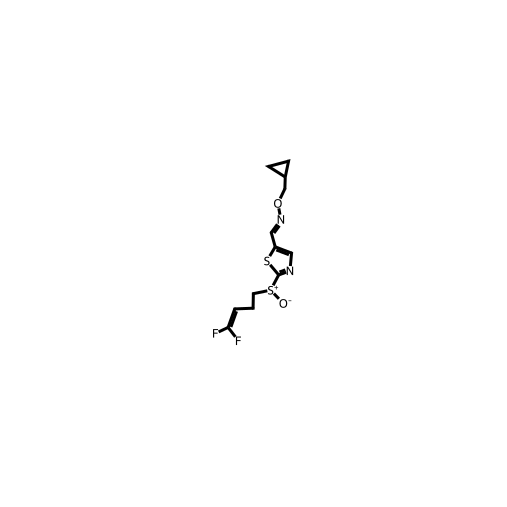 [O-][S+](CCC=C(F)F)c1ncc(C=NOCC2CC2)s1